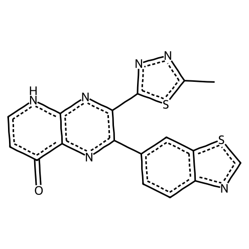 Cc1nnc(-c2nc3[nH]ccc(=O)c3nc2-c2ccc3ncsc3c2)s1